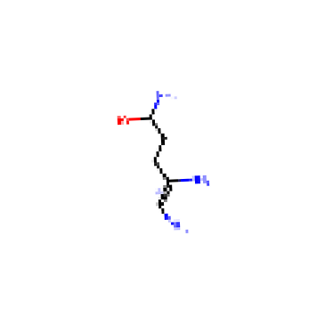 N/C=C(\N)CCC(N)O